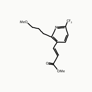 COCCCc1nc(C(F)(F)F)ccc1C=CC(=O)OC